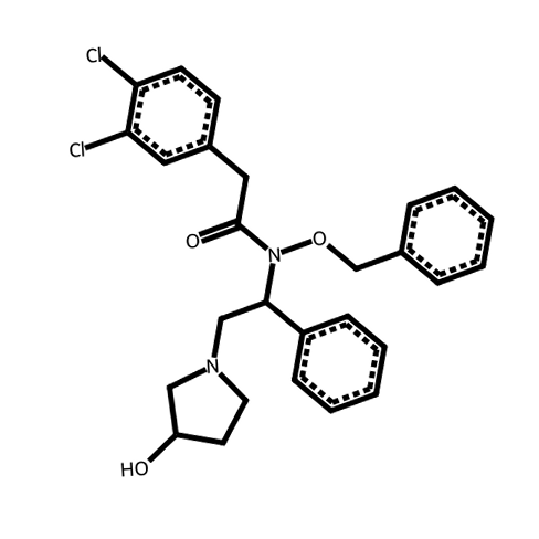 O=C(Cc1ccc(Cl)c(Cl)c1)N(OCc1ccccc1)C(CN1CCC(O)C1)c1ccccc1